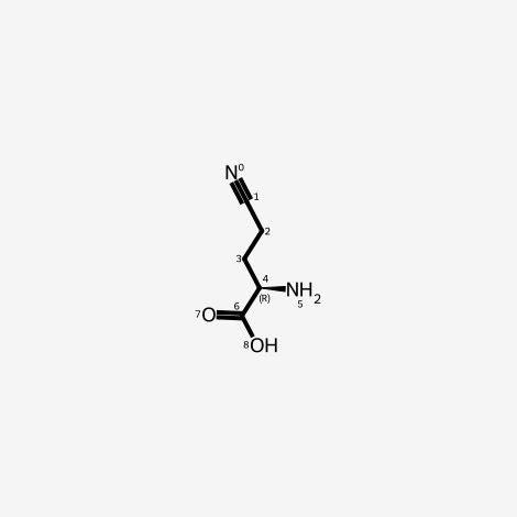 N#CCC[C@@H](N)C(=O)O